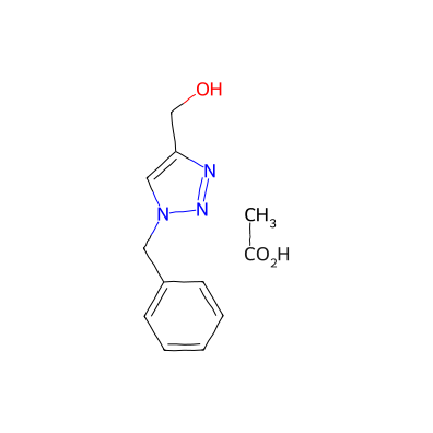 CC(=O)O.OCc1cn(Cc2ccccc2)nn1